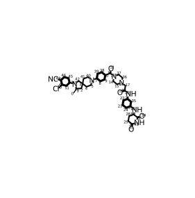 C[C@@H]1CC2(CCN(c3ccc(C(=O)N4CCN(CC(=O)Nc5cccc(N[C@H]6CCC(=O)NC6=O)c5)CC4)cc3)CC2)CN1c1ccc(C#N)c(Cl)c1